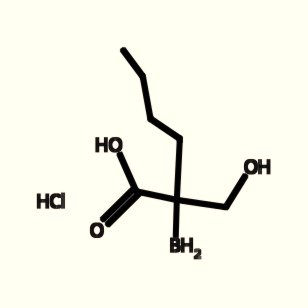 BC(CO)(CCCC)C(=O)O.Cl